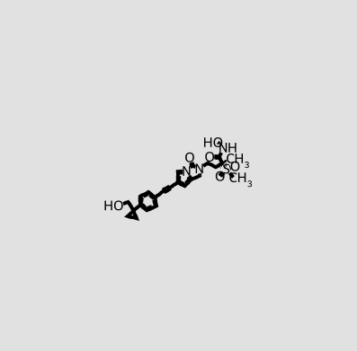 C[C@@](CCN1Cc2cc(C#Cc3ccc(C4(CO)CC4)cc3)cn2C1=O)(C(=O)NO)S(C)(=O)=O